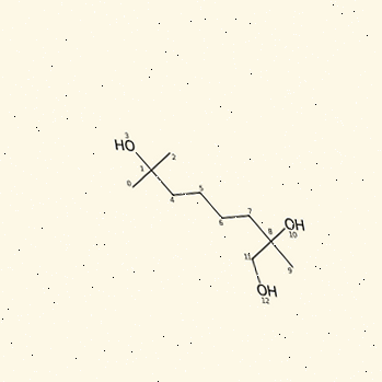 CC(C)(O)CCCCC(C)(O)CO